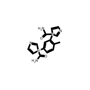 Cc1ccc([N+]2(C(N)=O)C=CN=C2)cc1[N+]1(C(N)=O)C=CN=C1